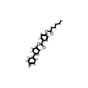 CCCCCC(=O)Oc1ccc(C(=O)Oc2ccc(-c3ccc(F)cc3)cc2)cc1